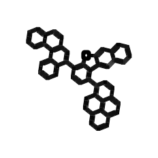 c1ccc2cc3c(cc2c1)oc1c(-c2cc4ccc5ccccc5c4c4ccccc24)ccc(-c2ccc4ccc5cccc6ccc2c4c56)c13